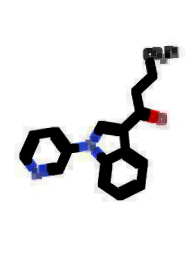 CCOC(=O)CCC(=O)c1cn(-c2cccnc2)c2ccccc12